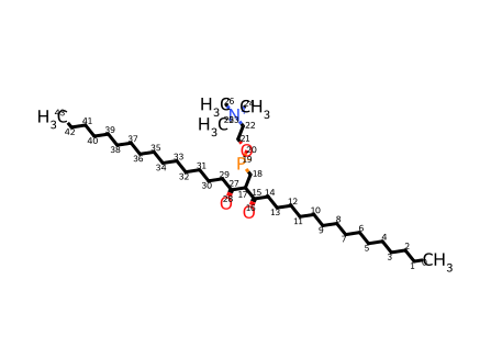 CCCCCCCCCCCCCCCC(=O)C(C[P-]OCC[N+](C)(C)C)C(=O)CCCCCCCCCCCCCCC